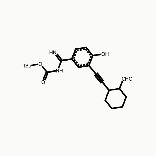 CC(C)(C)OC(=O)NC(=N)c1ccc(O)c(C#CC2CCCCC2C=O)c1